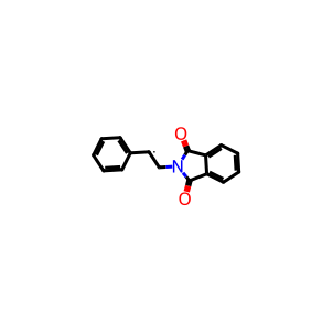 O=C1c2ccccc2C(=O)N1C[CH]c1ccccc1